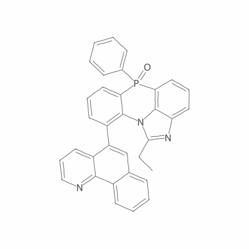 CCc1nc2cccc3c2n1-c1c(-c2cc4ccccc4c4ncccc24)cccc1P3(=O)c1ccccc1